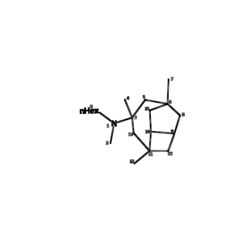 CCCCCCN(C)C1(C)CC2(C)CC3CC(C)(C1)C3C2